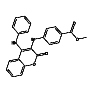 COC(=O)c1ccc([Se]c2c(Nc3ccccc3)c3ccccc3oc2=O)cc1